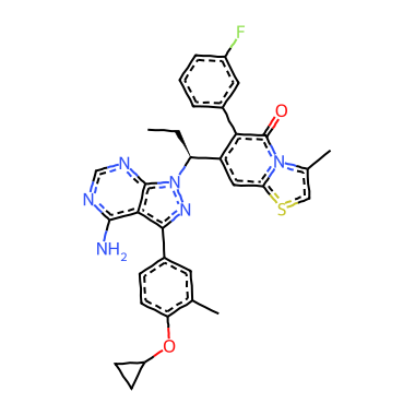 CC[C@@H](c1cc2scc(C)n2c(=O)c1-c1cccc(F)c1)n1nc(-c2ccc(OC3CC3)c(C)c2)c2c(N)ncnc21